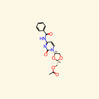 CC(=O)OC[C@H]1OC[C@@H](n2ccc(NC(=O)c3ccccc3)nc2=O)O1